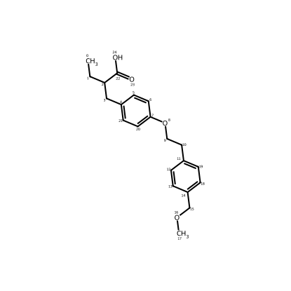 CCC(Cc1ccc(OCCc2ccc(COC)cc2)cc1)C(=O)O